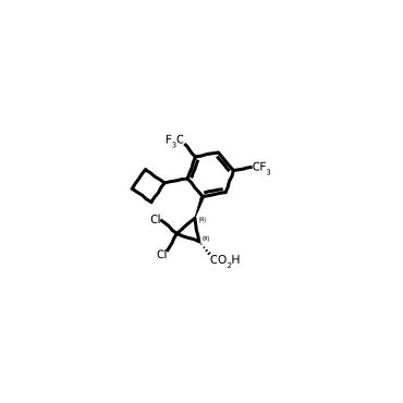 O=C(O)[C@H]1[C@H](c2cc(C(F)(F)F)cc(C(F)(F)F)c2C2CCC2)C1(Cl)Cl